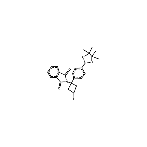 CC1(C)OB(c2ccc(C3(N4C(=O)c5ccccc5C4=O)CC(F)C3)cc2)OC1(C)C